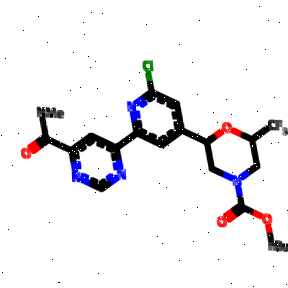 CCCCOC(=O)N1CC(c2cc(Cl)nc(-c3cc(C(=O)NC)ncn3)c2)OC(C(F)(F)F)C1